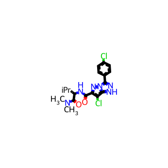 CC(C)C(NC(=O)c1nn2c(-c3ccc(Cl)cc3)n[nH]c2c1Cl)C(=O)N(C)C